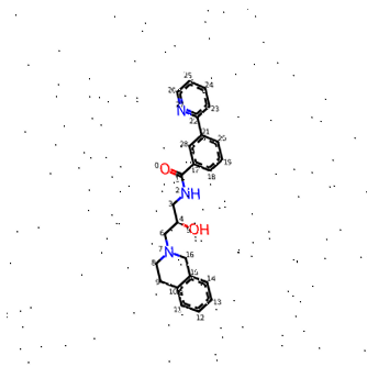 O=C(NC[C@@H](O)CN1CCc2ccccc2C1)c1cccc(-c2ccccn2)c1